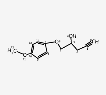 C#CCC(O)COc1ccc(OC)cc1